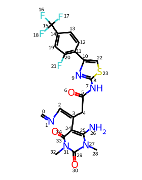 C=N/C=C(/CC(=O)Nc1nc(-c2ccc(C(F)(F)F)cc2F)cs1)c1c(N)n(C)c(=O)n(C)c1=O